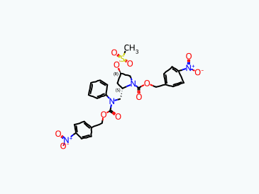 CS(=O)(=O)O[C@@H]1C[C@@H](CN(C(=O)OCc2ccc([N+](=O)[O-])cc2)c2ccccc2)N(C(=O)OCc2ccc([N+](=O)[O-])cc2)C1